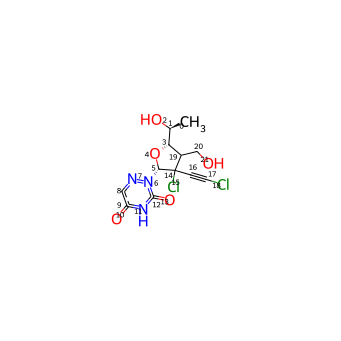 C[C@H](O)[C@H]1O[C@@H](n2ncc(=O)[nH]c2=O)C(Cl)(C#CCl)C1CO